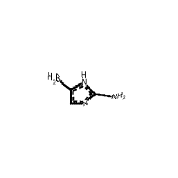 Bc1cnc(N)[nH]1